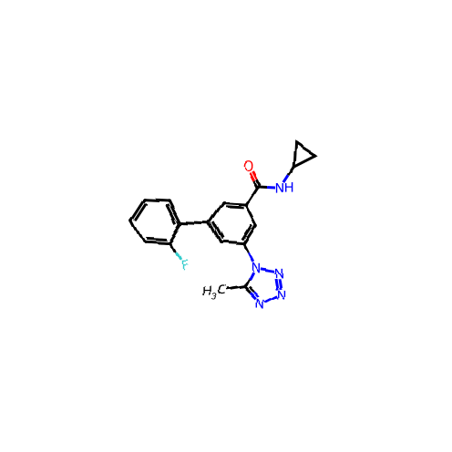 Cc1nnnn1-c1cc(C(=O)NC2CC2)cc(-c2ccccc2F)c1